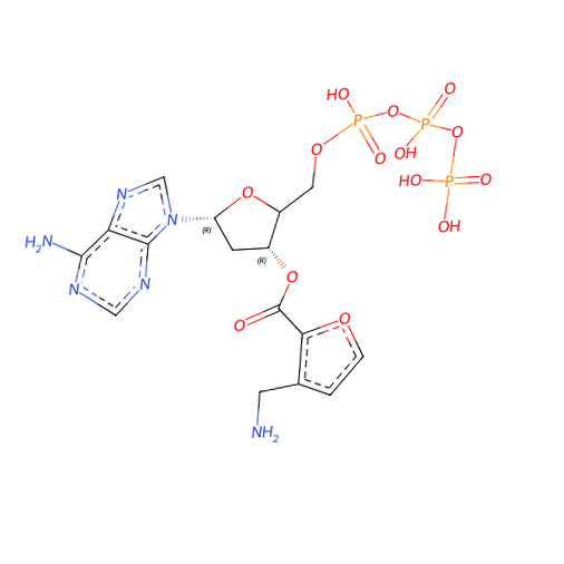 NCc1ccoc1C(=O)O[C@@H]1C[C@H](n2cnc3c(N)ncnc32)OC1COP(=O)(O)OP(=O)(O)OP(=O)(O)O